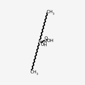 CCCCCCCCCCCCCCCCCCN(CCCCCCCCCCCCCCCCCC)C(=O)CNC(=O)O